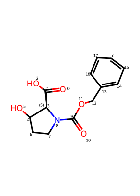 O=C(O)[C@@H]1C(O)CCN1C(=O)OCc1ccccc1